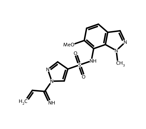 C=CC(=N)n1cc(S(=O)(=O)Nc2c(OC)ccc3cnn(C)c23)cn1